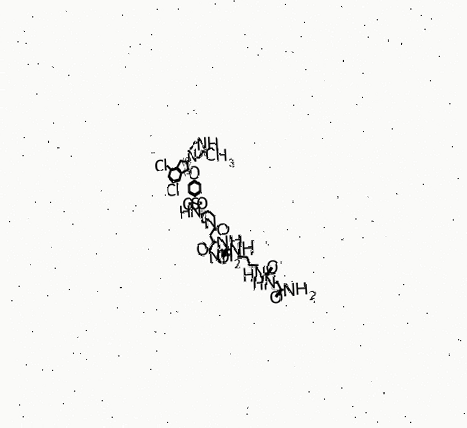 C[C@@H]1CN([C@H]2Cc3c(Cl)cc(Cl)cc3[C@@H]2Oc2ccc(S(=O)(=O)N[C@H]3CCN(C(=O)CC(NC(=O)NCCCCNC(=O)NCC(N)=O)C(N)=O)C3)cc2)CCN1